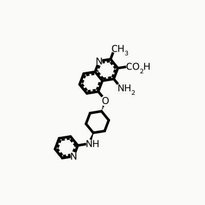 Cc1nc2cccc(O[C@H]3CC[C@H](Nc4ccccn4)CC3)c2c(N)c1C(=O)O